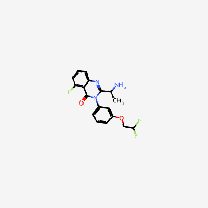 C[C@H](N)c1nc2cccc(F)c2c(=O)n1-c1cccc(OCC(F)F)c1